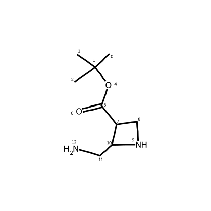 CC(C)(C)OC(=O)C1CNC1CN